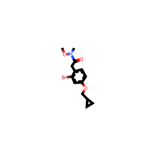 CON(C)C(=O)Cc1ccc(OCC2CC2)cc1Br